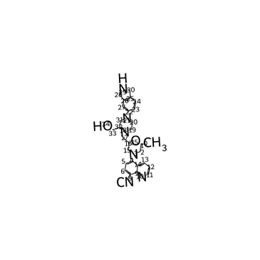 CC1CN(c2ccc(C#N)c3ncccc23)CC(CN2CCN(c3ccc4c(c3)CNC4)CC2CO)O1